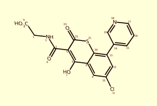 O=C(O)CNC(=O)c1c(O)c2cc(Cl)cc(-c3cccnc3)c2sc1=O